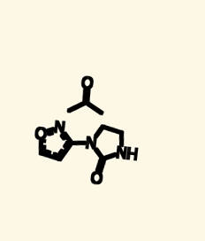 CC(C)=O.O=C1NCCN1c1ccon1